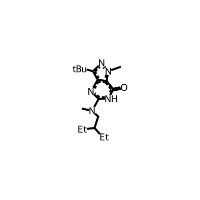 CCC(CC)CN(C)c1nc2c(C(C)(C)C)nn(C)c2c(=O)[nH]1